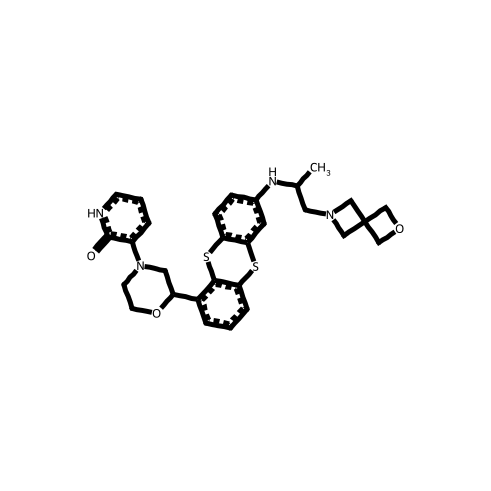 CC(CN1CC2(COC2)C1)Nc1ccc2c(c1)Sc1cccc(C3CN(c4ccc[nH]c4=O)CCO3)c1S2